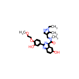 CCn1ncc(CN(C)C(=O)c2nc(-c3ccc(OCCOC)c(O)c3)nc3ccc(O)cc23)c1C